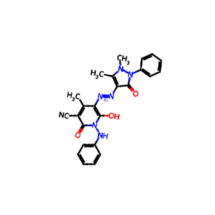 Cc1c(/N=N/c2c(C)n(C)n(-c3ccccc3)c2=O)c(O)n(Nc2ccccc2)c(=O)c1C#N